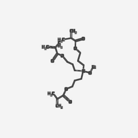 C=C(C)C(=O)OCCC[Si](CCCOC(=O)C(=C)C)(CCCOC(=O)C(=C)C)OCC